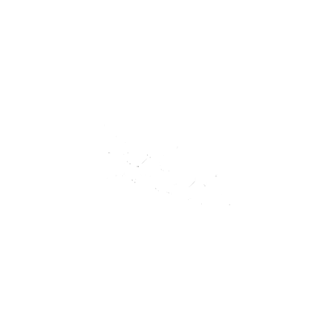 CN(/N=C/c1ccc2c(c1)COB2O)c1ncnc2c1[nH]c(=O)n2C1CC(O)C1.Cl